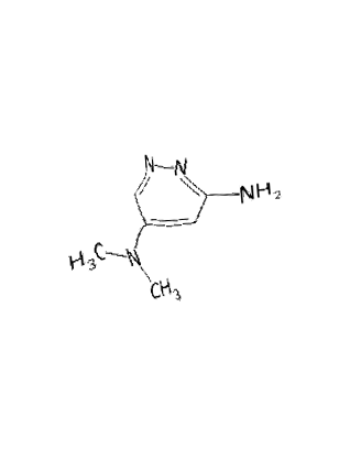 CN(C)c1cnnc(N)c1